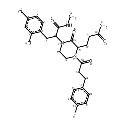 CNC(=O)C(Cc1ccc(Cl)cc1Cl)N1CCN(C(=O)[CH]Cc2ccc(F)cc2)C(CCC(N)=O)C1=O